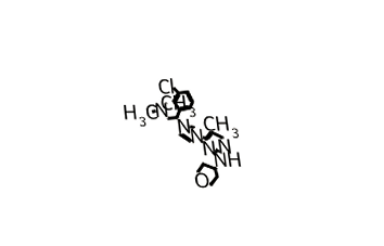 Cc1cnc(NC2CCOCC2)nc1N1C=CN(C(CN(C)C)c2cccc(Cl)c2)C1